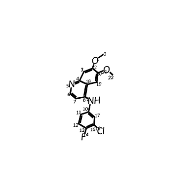 COc1cc2nccc(Nc3ccc(F)c(Cl)c3)c2cc1OC